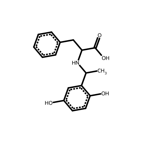 CC(NC(Cc1ccccc1)C(=O)O)c1cc(O)ccc1O